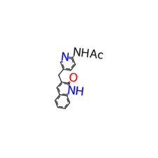 CC(=O)Nc1ccc(Cc2cc3ccccc3[nH]c2=O)cn1